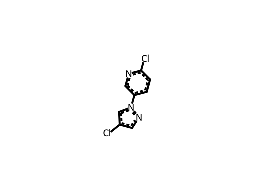 Clc1cnn(-c2ccc(Cl)nc2)c1